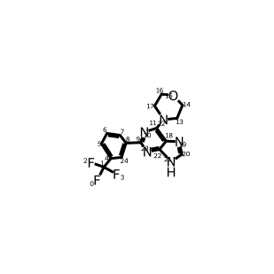 FC(F)(F)c1cccc(-c2nc(N3CCOCC3)c3nc[nH]c3n2)c1